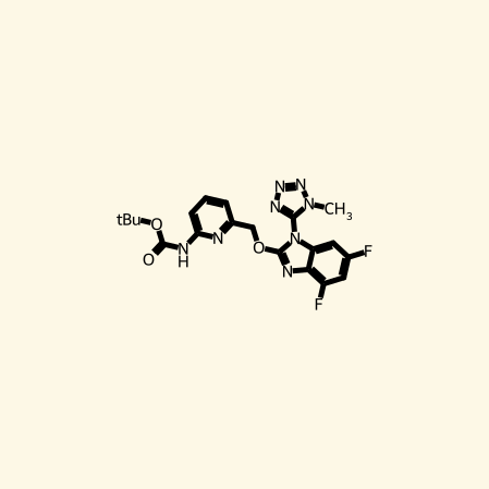 Cn1nnnc1-n1c(OCc2cccc(NC(=O)OC(C)(C)C)n2)nc2c(F)cc(F)cc21